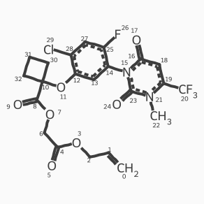 C=CCOC(=O)COC(=O)C1(Oc2cc(-n3c(=O)cc(C(F)(F)F)n(C)c3=O)c(F)cc2Cl)CCC1